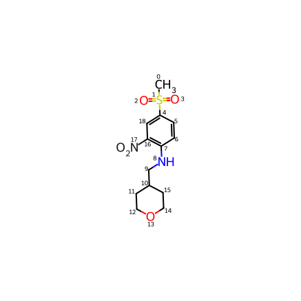 CS(=O)(=O)c1ccc(NCC2CCOCC2)c([N+](=O)[O-])c1